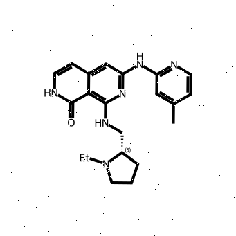 CCN1CCC[C@H]1CNc1nc(Nc2cc(C)ccn2)cc2cc[nH]c(=O)c12